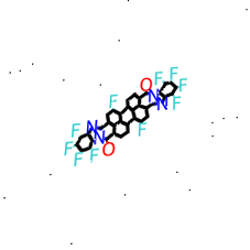 O=c1c2ccc3c4c(F)cc5c6c(ccc(c7c(F)cc(c2c37)c2nc3c(F)c(F)c(F)c(F)c3n12)c46)c(=O)n1c5nc2c(F)c(F)c(F)c(F)c21